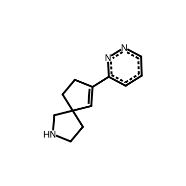 C1=C(c2cccnn2)CCC12CCNC2